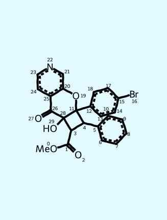 COC(=O)C1C(c2ccccc2)C2(c3ccc(Br)cc3)Oc3cnccc3C(=O)C12O